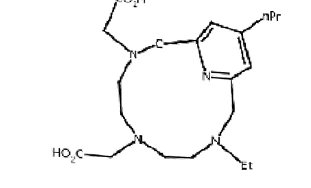 CCCc1cc2nc(c1)CN(CC(=O)O)CCN(CC(=O)O)CCN(CC)C2